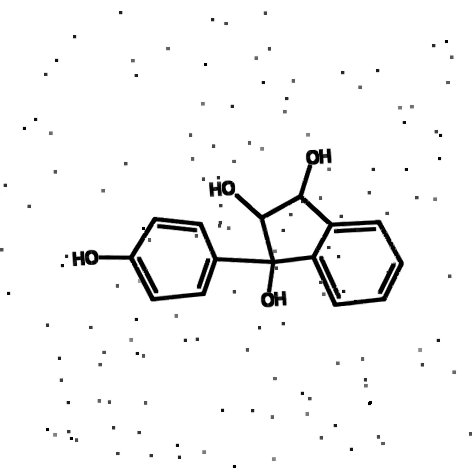 Oc1ccc(C2(O)c3ccccc3C(O)C2O)cc1